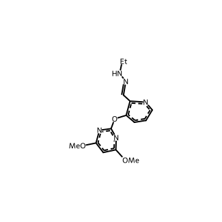 CCNN=Cc1ncccc1Oc1nc(OC)cc(OC)n1